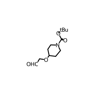 CC(C)(C)OC(=O)N1CCC(OCC=O)CC1